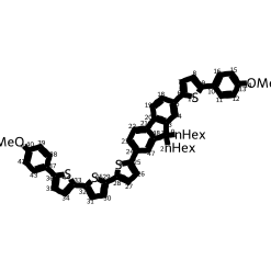 CCCCCCC1(CCCCCC)c2cc(-c3ccc(-c4ccc(OC)cc4)s3)ccc2-c2ccc(-c3ccc(-c4ccc(-c5ccc(-c6ccc(OC)cc6)s5)s4)s3)cc21